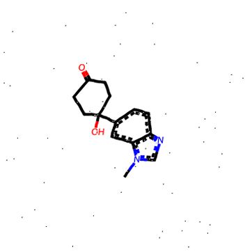 Cn1cnc2ccc(C3(O)CCC(=O)CC3)cc21